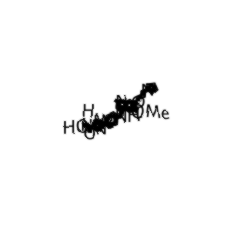 COc1cc2c(NC3CCN(c4ncc(C(=O)NO)cn4)CC3)cc(C)nc2cc1OCCCN1CCCC1